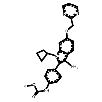 CC(C)OC(=O)Nc1ccc(-c2c(N)c3ccc(OCc4ncccn4)cc3n2C2CCC2)cc1